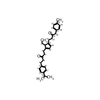 CCC1C(CCC(=O)CCc2ccc(C(C)C)cc2)=CC=C1CCC(=O)Cc1ccc(C)cc1